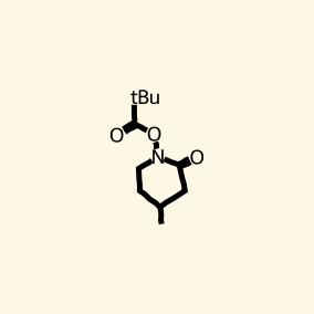 CC1CCN(OC(=O)C(C)(C)C)C(=O)C1